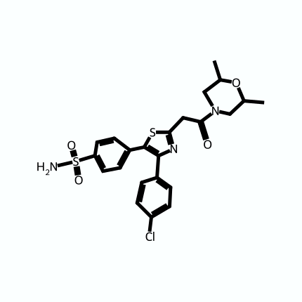 CC1CN(C(=O)Cc2nc(-c3ccc(Cl)cc3)c(-c3ccc(S(N)(=O)=O)cc3)s2)CC(C)O1